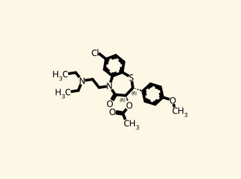 CCN(CC)CCN1C(=O)[C@@H](OC(C)=O)[C@@H](c2ccc(OC)cc2)Sc2ccc(Cl)cc21